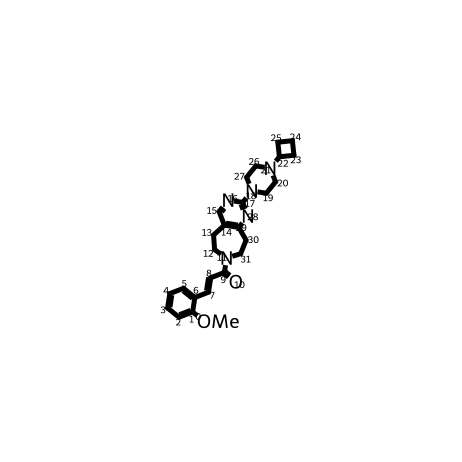 COc1ccccc1C=CC(=O)N1CCc2cnc(N3CCN(C4CCC4)CC3)nc2CC1